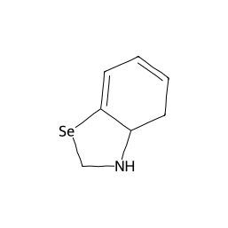 C1=CCC2NC[Se]C2=C1